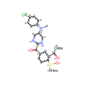 CCCCCC[S+]([O-])c1ccc(C(=O)c2ncc(N(C)c3ccc(Cl)cc3)cn2)cc1C(=O)OC